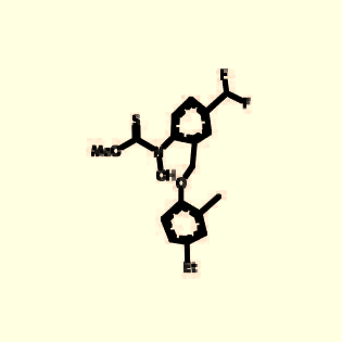 CCc1ccc(OCc2cc(C(F)F)ccc2N(O)C(=S)OC)c(C)c1